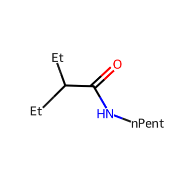 [CH2]CC(CC)C(=O)NCCCCC